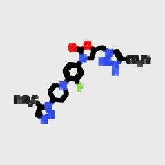 CCOC(=O)C1=CN(C[C@H]2CN(c3ccc(N4CCC(n5nncc5C(=O)OCC)CC4)c(F)c3)C(=O)O2)NN1